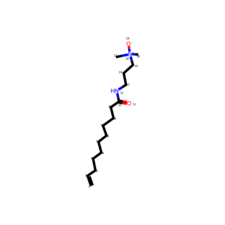 C=CCCCCCCCCC(=O)NCCC[N+](C)(C)[O-]